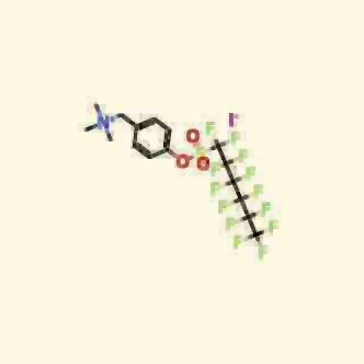 C[N+](C)(C)Cc1ccc(OS(=O)(=O)C(F)(F)C(F)(F)C(F)(F)C(F)(F)C(F)(F)C(F)(F)F)cc1.[I-]